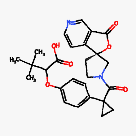 CC(C)(C)C(Oc1ccc(C2(C(=O)N3CC[C@@]4(C3)OC(=O)c3cnccc34)CC2)cc1)C(=O)O